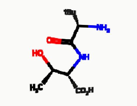 C[C@@H](O)[C@H](NC(=O)[C@@H](N)C(C)(C)C)C(=O)O